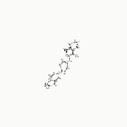 O=c1c2ncccc2ncn1Cc1ccc(-c2cnc3occc3c2)cc1